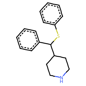 c1ccc(SC(c2ccccc2)C2CCNCC2)cc1